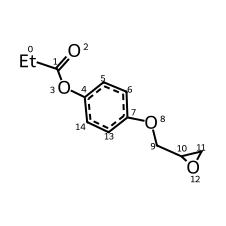 CCC(=O)Oc1ccc(OCC2CO2)cc1